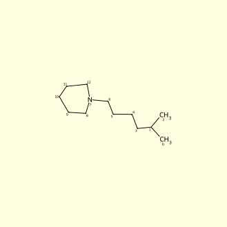 CC(C)CCCCN1CCCCC1